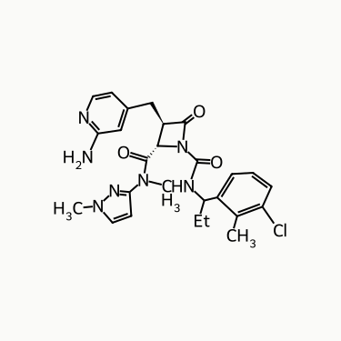 CCC(NC(=O)N1C(=O)[C@H](Cc2ccnc(N)c2)[C@H]1C(=O)N(C)c1ccn(C)n1)c1cccc(Cl)c1C